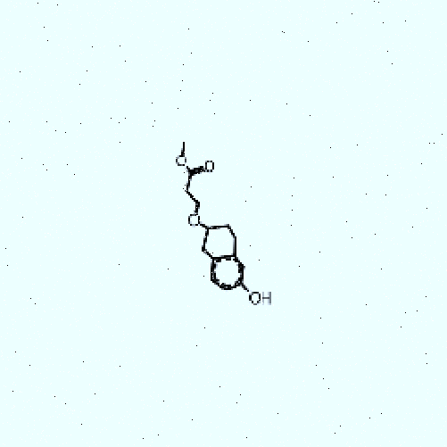 COC(=O)CCOC1CCc2cc(O)ccc2C1